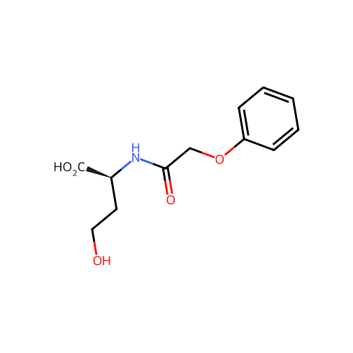 O=C(COc1ccccc1)N[C@@H](CCO)C(=O)O